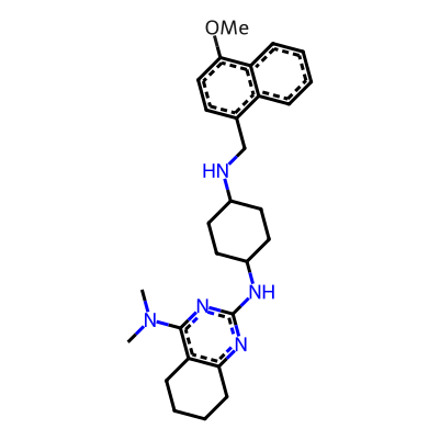 COc1ccc(CNC2CCC(Nc3nc4c(c(N(C)C)n3)CCCC4)CC2)c2ccccc12